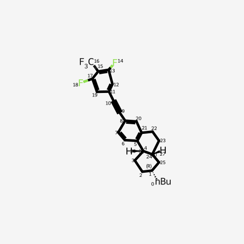 CCCC[C@@H]1CC[C@@H]2c3ccc(C#Cc4cc(F)c(C(F)(F)F)c(F)c4)cc3CC[C@@H]2C1